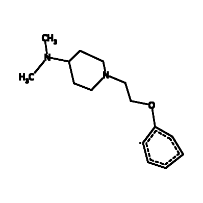 CN(C)C1CCN(CCOc2[c]cccc2)CC1